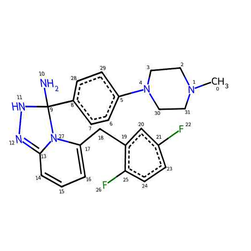 CN1CCN(c2ccc(C3(N)NN=C4C=CC=C(Cc5cc(F)ccc5F)N43)cc2)CC1